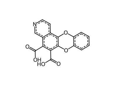 O=C(O)c1c2c(c3ccncc3c1C(=O)O)Oc1ccccc1O2